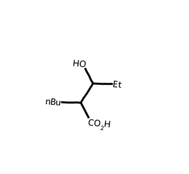 CCCCC(C(=O)O)C(O)CC